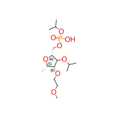 COCCO[C@H]1C(OC(C)C)[C@@H](COP(=O)(O)OC(C)C)O[C@H]1C